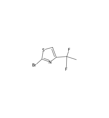 CC(F)(F)c1csc(Br)n1